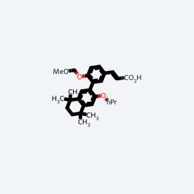 CCCOc1cc2c(cc1-c1cc(C=CC(=O)O)ccc1OCOC)C(C)(C)CCC2(C)C